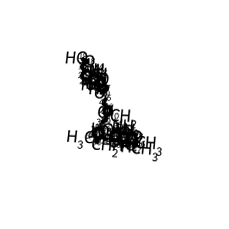 C=C1CC(CC[C@@]23CC4O[C@H]5[C@@H](O2)[C@H]2OC(CC(=O)O)CC[C@@H]2O[C@H]5C4O3)OC1CC[C@H]1C[C@@H](C)C(=C)C(C[C@@H]2O[C@H]3C[C@H]4OC(C)(C)OC[C@H]4O[C@H]3[C@H](N)[C@H]2O)O1